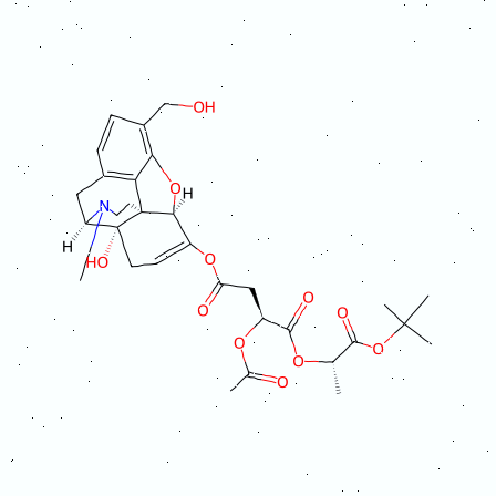 CC(=O)O[C@@H](CC(=O)OC1=CC[C@@]2(O)[C@H]3Cc4ccc(CO)c5c4[C@@]2(CCN3C)[C@H]1O5)C(=O)O[C@@H](C)C(=O)OC(C)(C)C